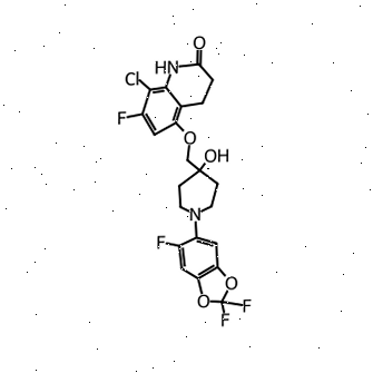 O=C1CCc2c(OCC3(O)CCN(c4cc5c(cc4F)OC(F)(F)O5)CC3)cc(F)c(Cl)c2N1